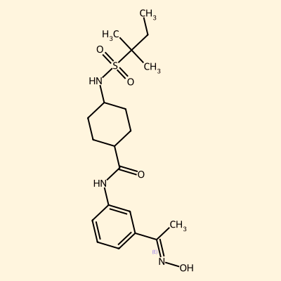 CCC(C)(C)S(=O)(=O)NC1CCC(C(=O)Nc2cccc(/C(C)=N/O)c2)CC1